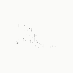 C=CC(=O)N1CCC[C@@H]1c1ccc(N2CC([C@@H]3CCCS3(=O)=O)C2)c2cnc(Nc3ccnc(N4CC[C@@H](OC)[C@@H](F)C4)n3)cc12